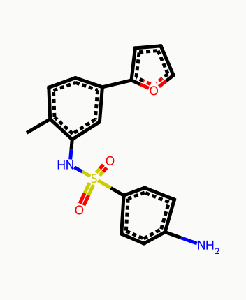 Cc1ccc(-c2ccco2)cc1NS(=O)(=O)c1ccc(N)cc1